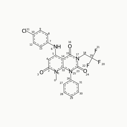 Cn1c(=O)cc(Nc2ccc(Cl)cc2)c2c(=O)n(CC(F)(F)F)c(=O)n(-c3ccccc3)c21